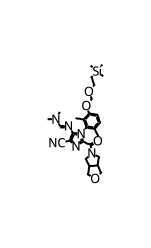 Cc1ccc(OCOCC[Si](C)(C)C)c(C)c1-n1c(C(=O)N2CC3COCC3C2)nc(C#N)c1/N=C/N(C)C